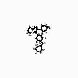 Clc1ccc(-c2nc3ccccn3c2-c2ccc(Cc3ccccc3)cc2)cc1